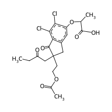 CCC(=O)CC1(CCOC(C)=O)Cc2cc(OC(C)C(=O)O)c(Cl)c(Cl)c2C1=O